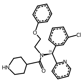 O=C(C1CCNCC1)N(CCOc1ccccc1)[C@@H](c1cccc(Cl)c1)c1ccccn1